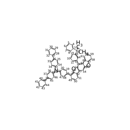 CC1(C)c2ccccc2-c2ccc(-c3c4oc5c(-c6ccc(N(c7ccc(-c8ccccc8)cc7)c7ccc(-c8ccccc8)cc7)cc6)cccc5c4cc4oc5ccccc5c34)cc21